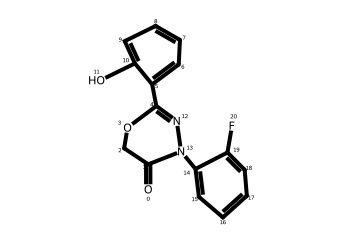 O=C1COC(c2ccccc2O)=NN1c1ccccc1F